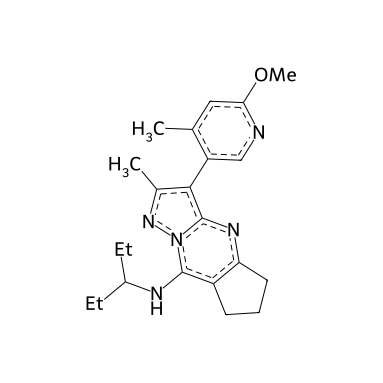 CCC(CC)Nc1c2c(nc3c(-c4cnc(OC)cc4C)c(C)nn13)CCC2